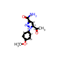 COc1ccc(-n2nc(C(N)=O)cc2C(C)=O)cc1